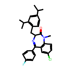 CC(C)c1ccc(CC2N=C(c3ccc(F)cc3)c3cc(Cl)ccc3N(C)C2=O)c(C(C)C)c1